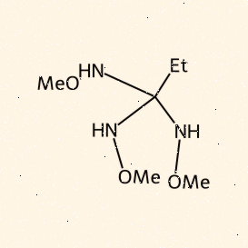 CCC(NOC)(NOC)NOC